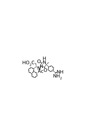 CC(=O)N([C@H](CC(=O)O)c1cccc2ccccc12)N1C(=O)N[C@](C)(c2ccc(C(=N)N)cc2)C1=O